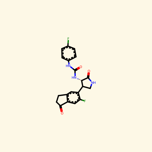 O=C(Nc1ccc(F)cc1)N[C@@H]1C(=O)NCC1c1cc2c(cc1F)C(=O)CC2